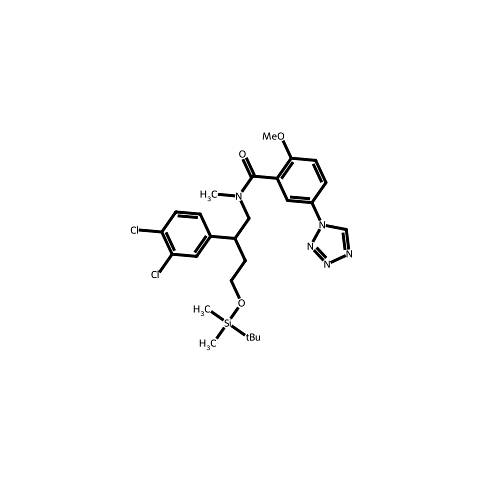 COc1ccc(-n2cnnn2)cc1C(=O)N(C)CC(CCO[Si](C)(C)C(C)(C)C)c1ccc(Cl)c(Cl)c1